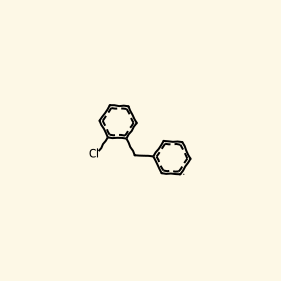 Clc1ccccc1Cc1c[c]ccc1